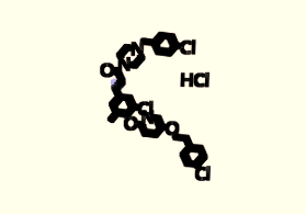 Cc1cc(/C=C/C(=O)N2CCN(Cc3ccc(Cl)cc3)CC2)cc(Cl)c1Oc1ccc(OCCc2ccc(Cl)cc2)cn1.Cl